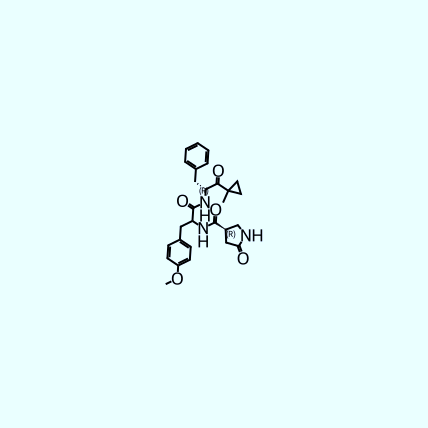 COc1ccc(CC(NC(=O)[C@H]2CNC(=O)C2)C(=O)N[C@H](Cc2ccccc2)C(=O)C2(C)CC2)cc1